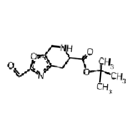 CC(C)(C)OC(=O)C1Cc2nc(C=O)oc2CN1